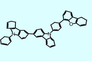 C1=CCCC(n2c3c(c4cc(-c5ccc6c(c5)c5ccccc5n6C5=CC=C(c6cccc7c8c(oc67)C=CCC8)CC5)ccc42)CCC=C3)=C1